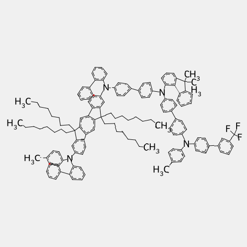 CCCCCCCCC1(CCCCCCCC)c2cc(N(c3ccc(C)cc3)c3ccccc3-c3ccccc3)ccc2-c2cc3c(cc21)-c1ccc(N(c2ccc(-c4ccc(N(c5ccc(-c6ccc(N(c7ccc(C)cc7)c7ccc(-c8cccc(C(F)(F)F)c8)cc7)cc6)cc5)c5cccc6c5-c5ccccc5C6(C)C)cc4)cc2)c2ccccc2-c2ccccc2)cc1C3(CCCCCCCC)CCCCCCCC